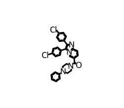 O=C(c1ccc2nc(-c3ccc(Cl)cc3)c(-c3ccc(Cl)cc3)n2c1)N1CCN(c2ccccc2)CC1